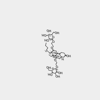 CCC[C@@H](C)[C@H]1CC[C@H]2[C@@H]3[C@H](OCCO[C@@H]4OC(CO)[C@@H](O)C(O)[C@@H]4O)C[C@@H]4C[C@H](O)CC[C@]4(C)[C@H]3C[C@H](OCCO[C@@H]3OC(CO)[C@@H](O)C(O)[C@@H]3O)[C@]12C